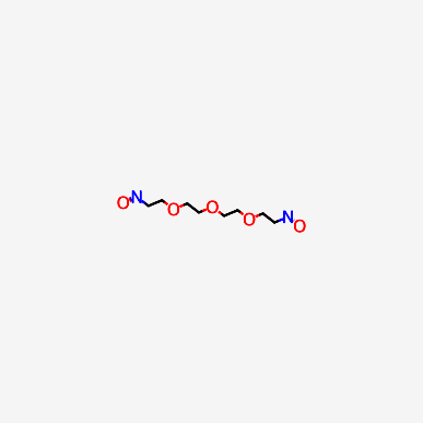 O=NCCOCCOCCOCCN=O